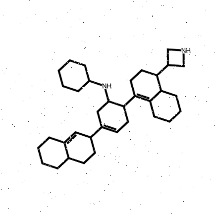 C1=C(C2C=C3CCCCC3CC2)CC(NC2CCCCC2)C(C2=C3CCCCC3C(C3CNC3)CC2)C1